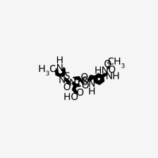 COC(=O)NC(=N)c1ccc2[nH]c(S(=O)(=O)N3CCN(C(=O)c4nc5c(s4)CNC(C)C5)C(CC(=O)O)C3)cc2c1